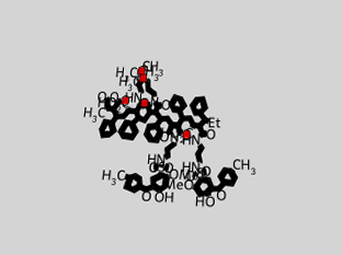 CCC(c1ccccc1)C(C(=O)NCCCNS(=O)(=O)c1cc(C(=O)c2ccc(C)cc2)c(O)cc1OC)C(CC(c1ccccc1)C1C(=O)N(CCCNS(=O)(=O)c2cc(C(=O)c3ccc(C)cc3)c(O)cc2OC)C(=O)C1CC(c1ccccc1)C1C(=O)N(CCCN(C)C)C(=O)C1CC(c1ccccc1)C(C(=O)NCCCN(C)C)C(CC(c1ccccc1)C1C(=O)OC(=O)C1C)C(=O)O)C(=O)O